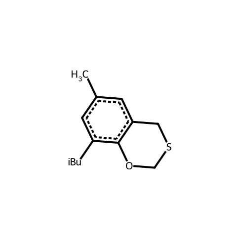 CCC(C)c1cc(C)cc2c1OCSC2